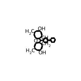 C=c1ccc2c(c(=C)ccc(O)c1)C(c1ccc(-c3ccccc3)cc1)c1c(ccc(=C)cc(O)ccc1=C)O2